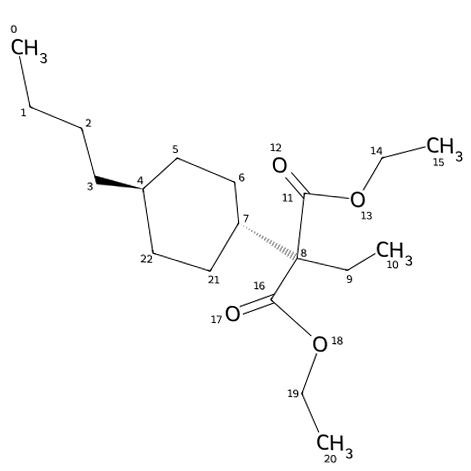 CCCC[C@H]1CC[C@H](C(CC)(C(=O)OCC)C(=O)OCC)CC1